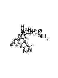 Cc1ncnc2ccc(-c3cc(-c4cnn(CCC(N)=O)c4)c(N)nc3-c3ccc(F)cc3)cc12